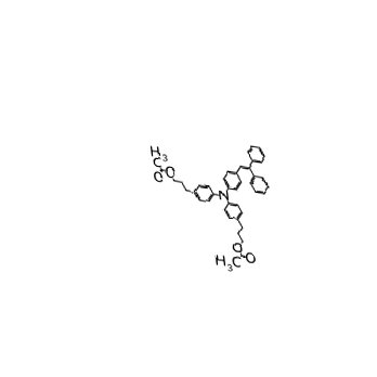 CC(=O)OCCCc1ccc(N(c2ccc(C=C(c3ccccc3)c3ccccc3)cc2)c2ccc(CCCOC(C)=O)cc2)cc1